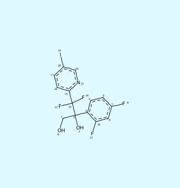 OCC(O)(c1ccc(F)cc1F)C(F)(F)c1ccc(I)cn1